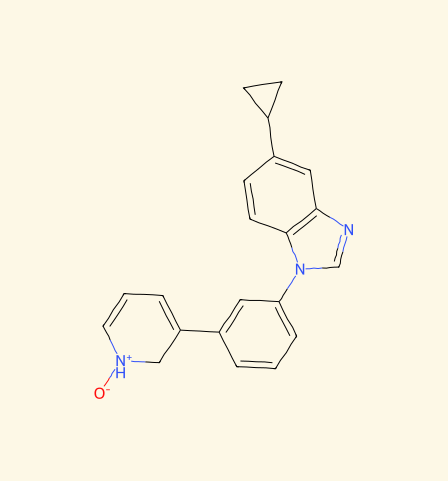 [O-][NH+]1C=CC=C(c2cccc(-n3cnc4cc(C5CC5)ccc43)c2)C1